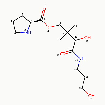 CC(C)(COC(=O)[C@@H]1CCCN1)C(O)C(=O)NCCCO